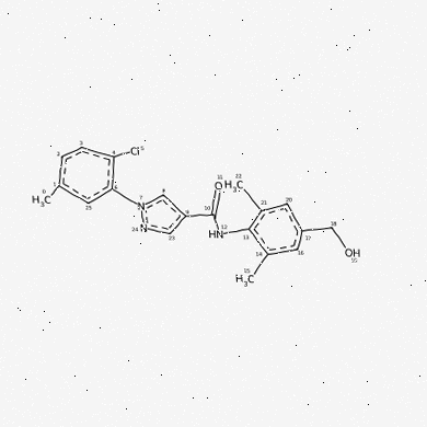 Cc1ccc(Cl)c(-n2cc(C(=O)Nc3c(C)cc(CO)cc3C)cn2)c1